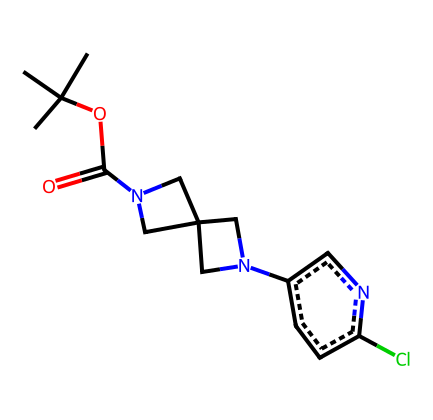 CC(C)(C)OC(=O)N1CC2(C1)CN(c1ccc(Cl)nc1)C2